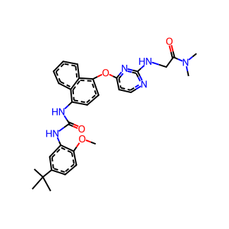 COc1ccc(C(C)(C)C)cc1NC(=O)Nc1ccc(Oc2ccnc(NCC(=O)N(C)C)n2)c2ccccc12